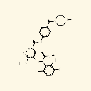 C=C(B=O)C(Oc1cc(C(=O)Nc2ccc(C(=O)N3CCN(C)CC3)cc2)nnc1N)c1c(Cl)ccc(F)c1Cl